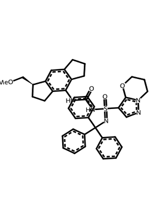 COC[C@@H]1CCc2c1cc1c(c2NC(=O)NS(=O)(=NC(c2ccccc2)(c2ccccc2)c2ccccc2)c2cnn3c2OCCC3)CCC1